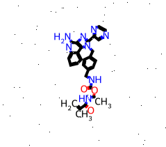 C=C(C)C(=O)NC(C)OC(=O)NCc1ccc(Cn2c(-c3cnccn3)nc3c(N)nc4ccccc4c32)cc1